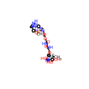 CC(C)c1cc(-c2nnc(O)n2-c2ccc(OCCCNC(=O)CNC(=O)CCOCCOCCN3CCN(c4ccc(Nc5ncc6ccc(-c7cccc(NS(C)(=O)=O)c7)n6n5)cc4)CC3)cc2)c(O)cc1O